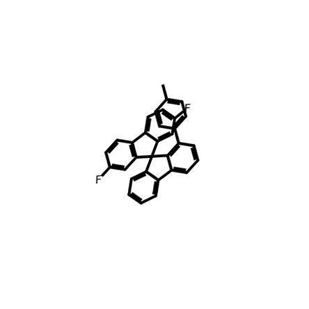 Cc1ccc(-c2cccc3c2C2(c4cc(F)ccc4-c4ccc(F)cc42)c2ccccc2-3)cc1